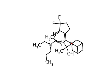 CCCN(CC)c1nc(N2CC3CC(C2)C3CC(C)(O)OCC)c2c(n1)C(F)(F)CC2